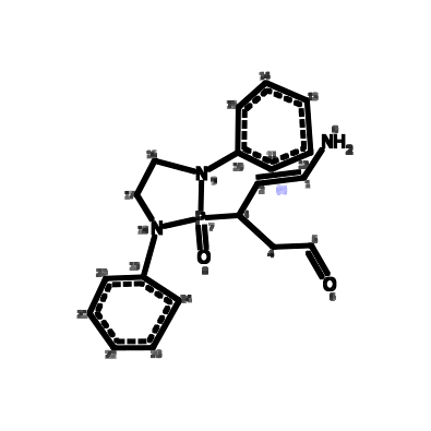 N/C=C/C(CC=O)P1(=O)N(c2ccccc2)CCN1c1ccccc1